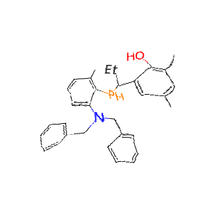 CCC(Pc1c(C)cccc1N(Cc1ccccc1)Cc1ccccc1)c1cc(C)cc(C)c1O